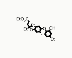 CCOC(=O)CCC(CC)(CC)Oc1ccc(Oc2ccc(CC)cc2O)c(F)c1